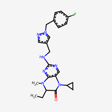 CCC1C(=O)N(C2CC2)c2cnc(NCc3cnn(Cc4ccc(F)cc4)c3)nc2N1C